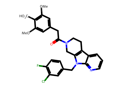 COc1cc(CC(=O)N2CCc3c(n(Cc4ccc(F)c(Cl)c4)c4ncccc34)C2)cc(OC)c1C(=O)O